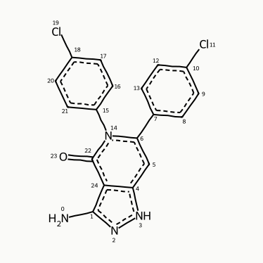 Nc1n[nH]c2cc(-c3ccc(Cl)cc3)n(-c3ccc(Cl)cc3)c(=O)c12